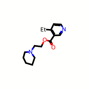 CCc1ccncc1C(=O)OCCN1CCCCC1